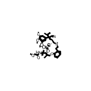 COCC(=O)NC(C)(C)C(O[N+](=O)[O-])C(C)COc1ccccc1CCN(C)CCCC(C#N)(c1cc(OC)c(OC)c(OC)c1)C(C)C